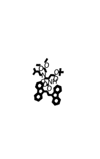 CCOC(CN(CCC(C)C)C(=O)C(CC(=O)OC(C)(C)C)NC(=O)OC(CC1c2ccccc2-c2ccccc21)C1c2ccccc2-c2ccccc21)OCC